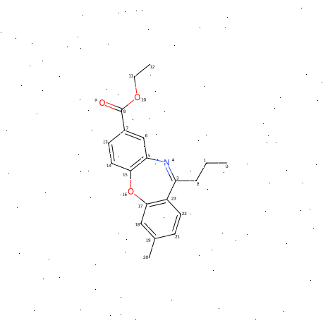 CCCC1=Nc2cc(C(=O)OCC)ccc2Oc2cc(C)ccc21